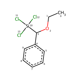 CCOC(c1ccccc1)[Si](Cl)(Cl)Cl